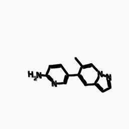 Cc1cn2nccc2cc1-c1ccc(N)nc1